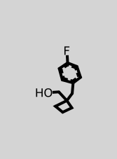 OCC1(Cc2ccc(F)cc2)CCC1